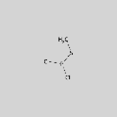 CSP(Cl)Cl